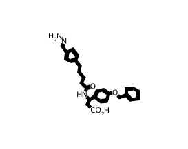 NN=Cc1ccc(CCCCC(=O)NC(CC(=O)O)c2ccc(OCc3ccccc3)cc2)cc1